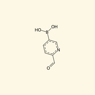 O=Cc1ccc(B(O)O)cn1